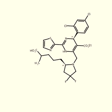 CCOC(=O)C1=C(CN2CC(F)(F)C[C@H]2CCCC(C)C(=O)O)NC(c2nccs2)=N[C@H]1c1ccc(Cl)cc1Cl